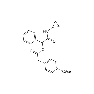 COc1ccc(CC(=O)OC(C(=O)NC2CC2)c2ccccc2)cc1